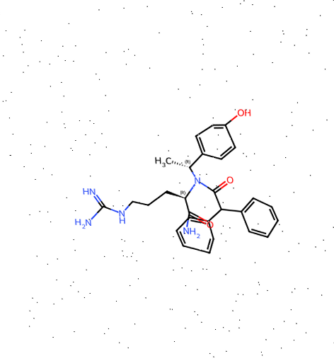 C[C@H](c1ccc(O)cc1)N(C(=O)C(c1ccccc1)c1ccccc1)[C@H](CCCNC(=N)N)C(N)=O